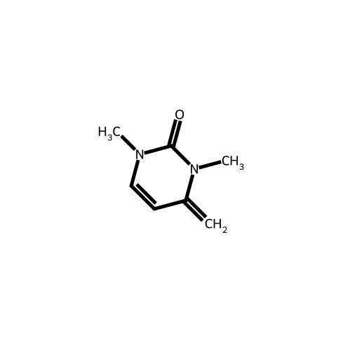 C=C1C=CN(C)C(=O)N1C